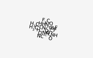 CC(C)(C)C(NC(=O)C(F)(F)F)C(=O)N1C[C@H]2[C@@H]([C@H]1C(=O)NC(C#N)C[C@@H]1Oc3ccc(F)cc3NC1=O)C2(C)C